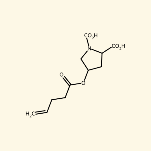 C=CCCC(=O)OC1CC(C(=O)O)N(C(=O)O)C1